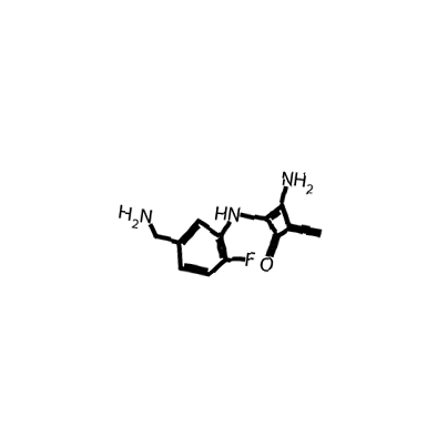 C=C1C(=O)C(Nc2cc(CN)ccc2F)=C1N